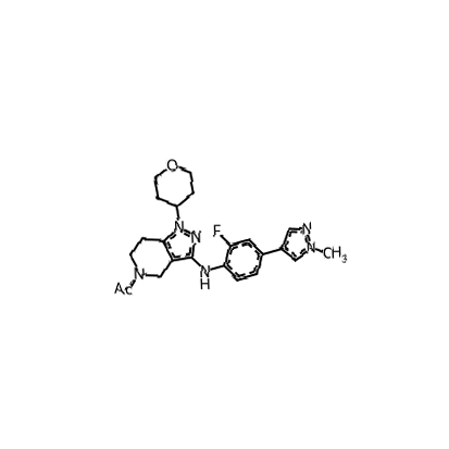 CC(=O)N1CCc2c(c(Nc3ccc(-c4cnn(C)c4)cc3F)nn2C2CCOCC2)C1